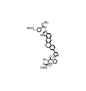 COC[C@H]1C[C@@H](c2nc3ccc4cc5c(cc4c3[nH]2)OCc2cc(-c3cnc([C@@H]4CC[C@H](C)N4C(=O)[C@@H](NC(=O)OC)C(C)C)[nH]3)ccc2-5)N(C(=O)OC(C)(C)C)C1